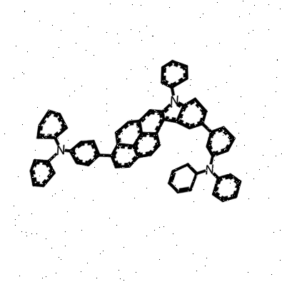 C1=CCC(N(c2ccccc2)c2cccc(-c3ccc4c(c3)c3c5ccc6ccc(-c7ccc(N(c8ccccc8)c8ccccc8)cc7)c7ccc(cc3n4-c3ccccc3)c5c67)c2)C=C1